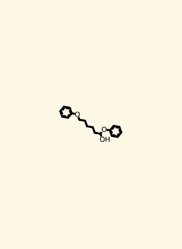 OC(CCCCCOc1ccccc1)Oc1ccccc1